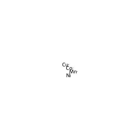 [Co].[Cu].[Mn].[Ni]